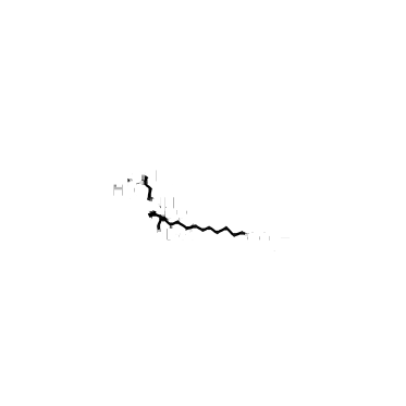 CCCCCCCCCCCC(CCCCCCCCCCC(=O)O)(C(=O)O)C(=O)NCCC(C)(C)OCC